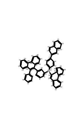 c1ccc(-c2c(-c3cccc(N(c4ccc(-c5ccc6ccccc6c5)cc4)c4cc5ccccc5c5ccccc45)c3)c3ccccc3c3ccccc23)cc1